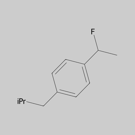 CC(C)Cc1ccc(C(C)F)cc1